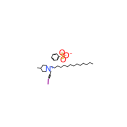 CCCCCCCCCCCCCC[N+]1(CC#CI)CCC(C)CC1.O=S(=O)([O-])c1ccccc1